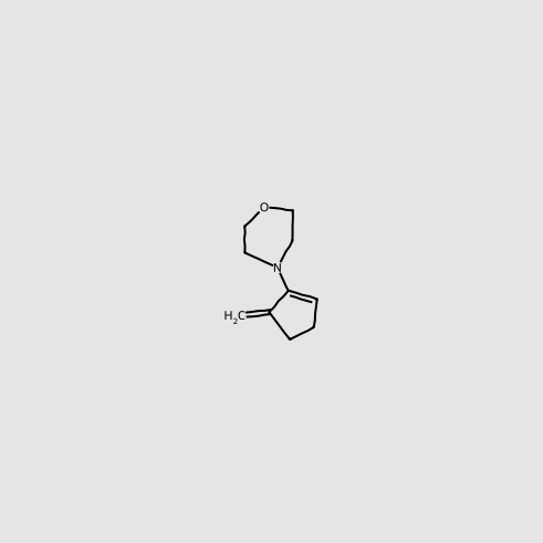 C=C1CCC=C1N1CCOCC1